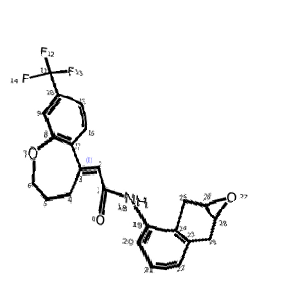 O=C(/C=C1\CCCOc2cc(C(F)(F)F)ccc21)Nc1cccc2c1CC1OC1C2